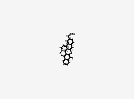 Cc1c2c(c(C)c3ccccc13)-c1c3c(cc4ccc(CC(C)(C)C)cc4c3cc[n+]1C)S2